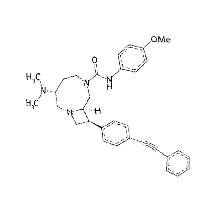 COc1ccc(NC(=O)N2CC[C@@H](N(C)C)CN3C[C@H](c4ccc(C#Cc5ccccc5)cc4)[C@@H]3C2)cc1